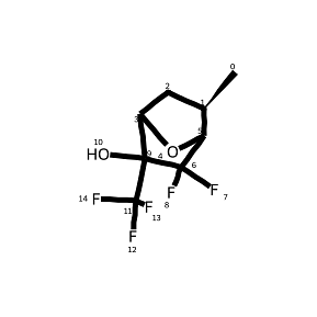 C[C@@H]1CC2OC1C(F)(F)C2(O)C(F)(F)F